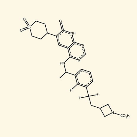 CC(Nc1ncnc2[nH]c(=O)c(C3CCS(=O)(=O)CC3)cc12)c1cccc(C(F)(F)CC2CN(C(=O)O)C2)c1F